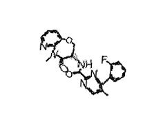 Cc1cnc(C(=O)N[C@H]2COc3cccnc3N(C)C2=O)nc1-c1ccccc1F